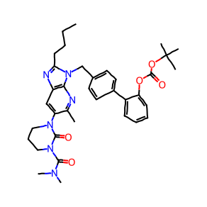 CCCCc1nc2cc(N3CCCN(C(=O)N(C)C)C3=O)c(C)nc2n1Cc1ccc(-c2ccccc2OC(=O)OC(C)(C)C)cc1